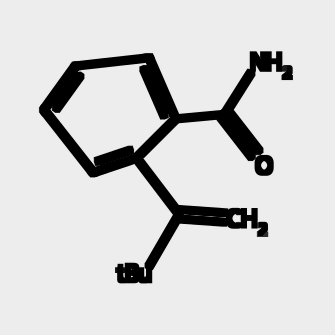 C=C(c1ccccc1C(N)=O)C(C)(C)C